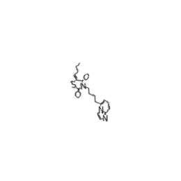 CCC/C=C1/SC(=O)N(CCCCc2cccc3nccn23)C1=O